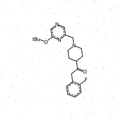 CC(C)(C)Oc1cncc(CN2CCC(C(=O)Cc3ccccc3F)CC2)n1